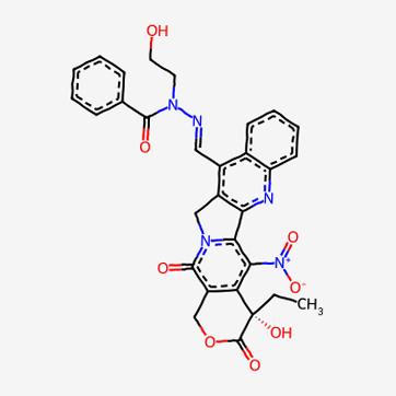 CC[C@@]1(O)C(=O)OCc2c1c([N+](=O)[O-])c1n(c2=O)Cc2c-1nc1ccccc1c2/C=N/N(CCO)C(=O)c1ccccc1